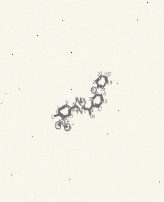 Cc1ccc(-c2noc(C(C)c3cccc(Oc4ccccc4)c3)n2)cc1[N+](=O)[O-]